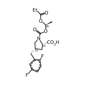 CCC(=O)O[C@@H](C)OC(=O)N1C[C@@H](Cc2cc(F)ccc2F)C[C@H]1C(=O)O